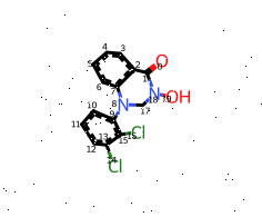 O=C1c2ccccc2N(c2cccc(Cl)c2Cl)CN1O